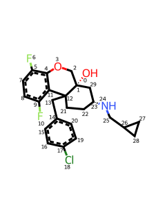 O[C@@]12COc3c(F)ccc(F)c3C1(Cc1ccc(Cl)cc1)CC[C@@H](NCC1CC1)C2